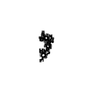 C=Cc1ccc(NC(=S)N2CCN(c3ncnc4cc(OC)c(OC)cc34)CC2)cc1